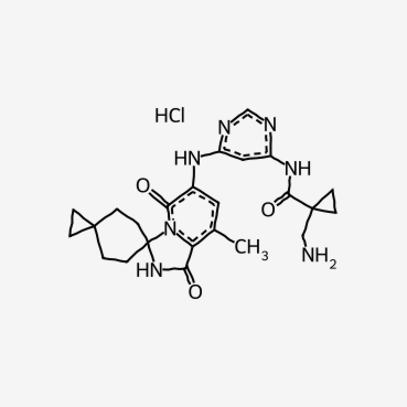 Cc1cc(Nc2cc(NC(=O)C3(CN)CC3)ncn2)c(=O)n2c1C(=O)NC21CCC2(CC2)CC1.Cl